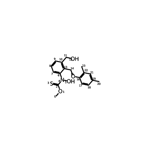 COC(=S)N(O)c1cccc(CO)c1COc1ccc(C)cc1C